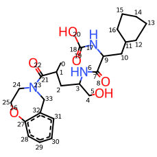 CC(CC(CO)NC(=O)C(CC1CCCCC1)NC(=O)O)C(=O)N1CCOc2ccccc2C1